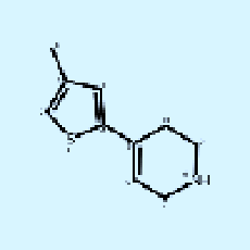 Cc1csc(C2=CCNCC2)c1